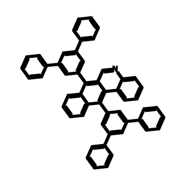 c1ccc(-c2cc(-c3ccccc3)cc(-c3c4ccccc4c(-c4cc(-c5ccccc5)cc(-c5ccccc5)c4)c4c3cnc3ccccc34)c2)cc1